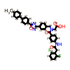 Cc1ccc(-c2ccc(-c3nc(-c4ccc(CN(CC(=O)O)C(=O)c5ccc(NC(=O)Cc6c(F)cccc6F)cc5)cc4)no3)cc2)cc1